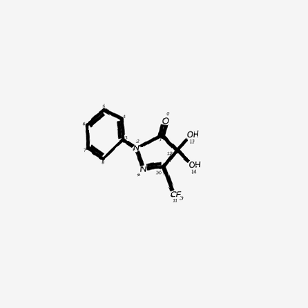 O=C1N(c2ccccc2)N=C(C(F)(F)F)C1(O)O